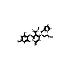 COC(=O)c1c(N(CCO)Cc2cccs2)cc(C)nc1Oc1c(C)cc(C)cc1C